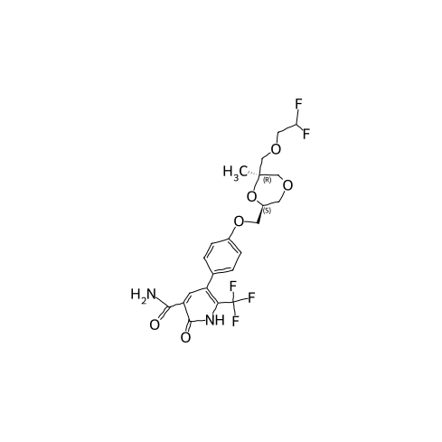 C[C@]1(COCC(F)F)COC[C@@H](COc2ccc(-c3cc(C(N)=O)c(=O)[nH]c3C(F)(F)F)cc2)O1